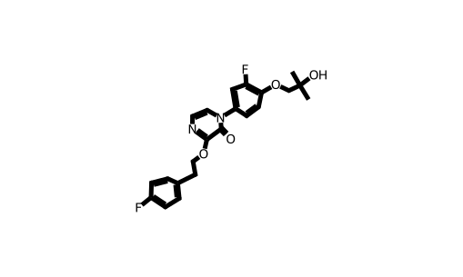 CC(C)(O)COc1ccc(-n2ccnc(OCCc3ccc(F)cc3)c2=O)cc1F